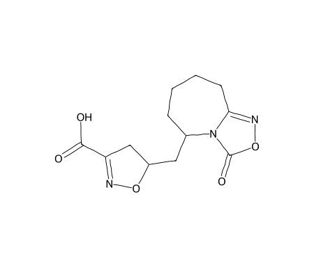 O=C(O)C1=NOC(CC2CCCCc3noc(=O)n32)C1